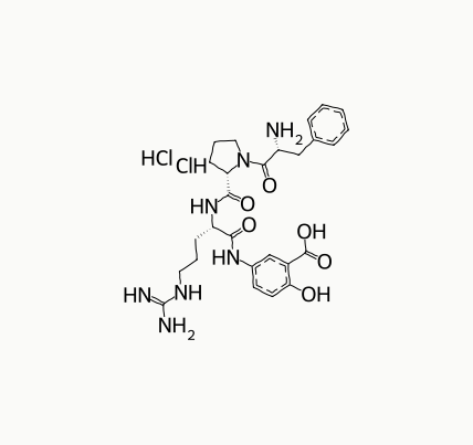 Cl.Cl.N=C(N)NCCC[C@H](NC(=O)[C@@H]1CCCN1C(=O)[C@H](N)Cc1ccccc1)C(=O)Nc1ccc(O)c(C(=O)O)c1